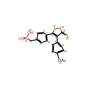 CC(=O)Oc1ccc(-c2c(-c3ccc(CS(=O)O)cc3)ssc2=S)cc1